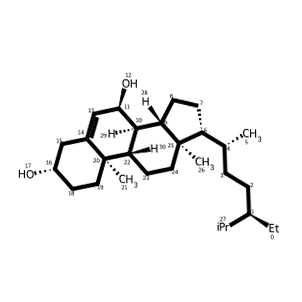 CC[C@H](CC[C@@H](C)[C@H]1CC[C@H]2[C@@H]3[C@H](O)C=C4C[C@@H](O)CC[C@]4(C)[C@H]3CC[C@]12C)C(C)C